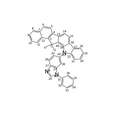 CC1(C)c2c(ccc3ccccc23)-c2ccc3c4ccccc4n(-c4ccc5ncn(-c6ccccc6)c5c4)c3c21